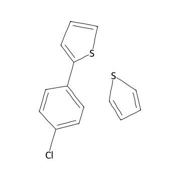 Clc1ccc(-c2cccs2)cc1.c1ccsc1